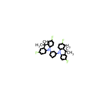 CC1(C)c2cc(F)ccc2N(c2cccc(N3c4ccc(F)cc4C(C)(C)c4cc(F)ccc43)c2)c2ccc(F)cc21